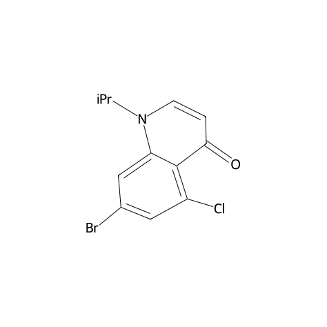 CC(C)n1ccc(=O)c2c(Cl)cc(Br)cc21